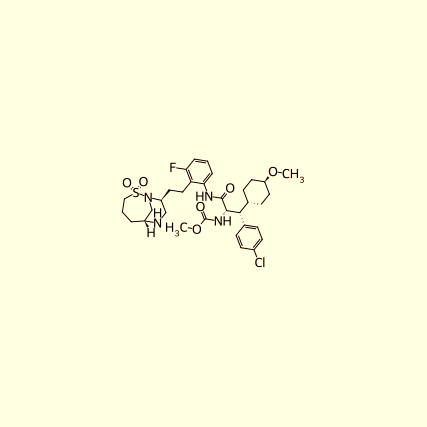 COC(=O)N[C@H](C(=O)Nc1cccc(F)c1CC[C@H]1CN[C@@H]2CCCS(=O)(=O)N1C2)[C@@H](c1ccc(Cl)cc1)[C@H]1CC[C@H](OC)CC1